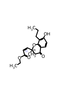 CCCc1c(O)ccc2c1O[C@@](C)(/C=C\C(=O)OCC)CC2=O